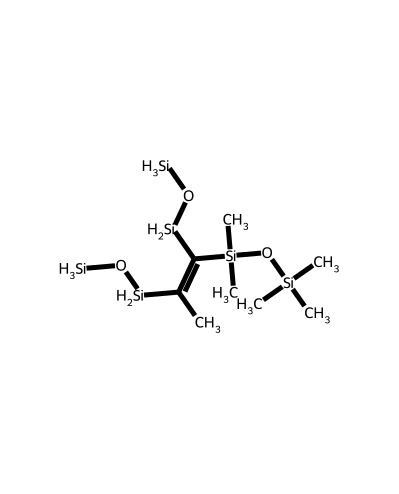 CC([SiH2]O[SiH3])=C([SiH2]O[SiH3])[Si](C)(C)O[Si](C)(C)C